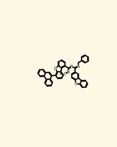 C=N/C(=N\C(=N/Cc1ccccc1)c1ccc2oc3ccccc3c2c1)c1cccc2oc3c(-c4cc5ccccc5c5ccccc45)cccc3c12